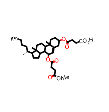 COC(=O)CCC(=O)OC1C=C2CC(OC(=O)CCC(=O)O)CCC2(C)C2CCC3(C)C(CCC3[C@H](C)CCCC(C)C)C12